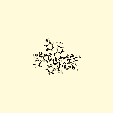 CC(C)(C)c1ccc(N2B3c4cc(C(C)(C)C)ccc4-n4c5cc6c(cc5c5c7c(c(c3c54)-c3cc4c(cc32)C(C)(C)c2ccccc2-4)-c2ccccc2C7(C)C)C(C)(C)CCC6(C)C)cc1